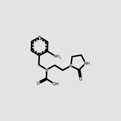 Nc1cnccc1CN(CCN1CCNC1=O)C(=O)O